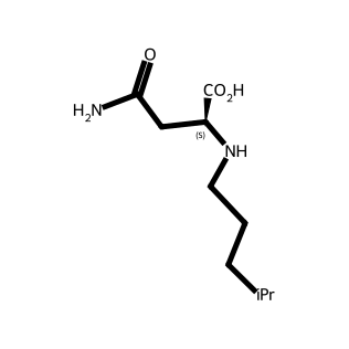 CC(C)CCCN[C@@H](CC(N)=O)C(=O)O